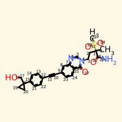 CC(CCn1cnc2cc(C#Cc3ccc(C4(CO)CC4)cc3)ccc2c1=O)(C(N)=O)S(C)(=O)=O